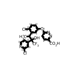 CC(c1cc(Oc2ccc(C(=O)O)nn2)ccc1Cl)C(O)(c1ccnc(Cl)c1)C(F)(F)F